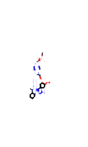 CCOC(=O)CN1CCN(CCCOc2cc3c(NC(C)c4ccccc4)ncnc3cc2OC)CC1